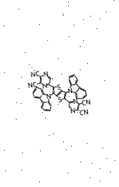 N#Cc1ncc(-c2sc3c(-n4c5ccccc5c5ccccc54)c(-c4cnc(C#N)c(C#N)n4)sc3c2-n2c3ccccc3c3ccccc32)nc1C#N